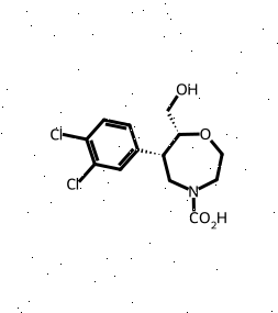 O=C(O)N1CCO[C@@H](CO)[C@@H](c2ccc(Cl)c(Cl)c2)C1